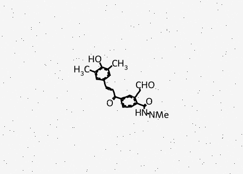 CNNC(=O)c1ccc(C(=O)C=Cc2cc(C)c(O)c(C)c2)cc1CC=O